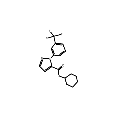 O=C(OC1CCCCC1)c1ccnn1-c1cccc(C(F)(F)F)c1